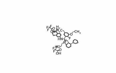 CCOc1cc(CC)cc(C(Nc2ccc3c(N)nccc3c2)N2Cc3c(-c4ccccc4)cccc3N2CCO)c1F.O=C(O)C(F)(F)F.O=C(O)C(F)(F)F